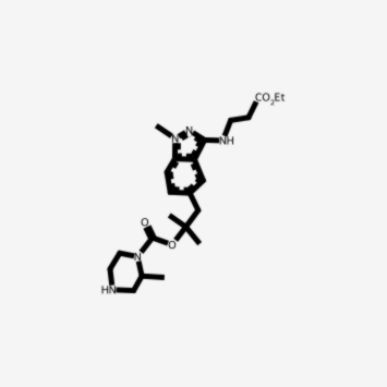 CCOC(=O)CCNc1nn(C)c2ccc(CC(C)(C)OC(=O)N3CCNCC3C)cc12